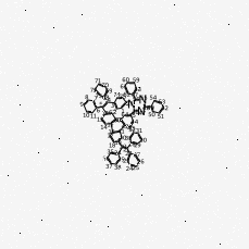 c1ccc(C(=C(c2ccccc2)c2ccc(-c3ccc(C(=C(c4ccccc4)c4ccccc4)c4ccccc4)cc3-c3ccc(-c4nc(-c5ccccc5)nc(-c5ccccc5)n4)cc3)cc2)c2ccccc2)cc1